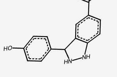 NC(=O)c1ccc2c(c1)C(c1ccc(O)cc1)NN2